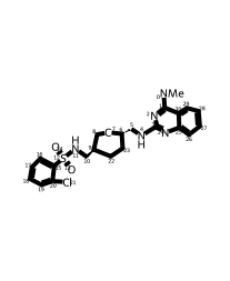 CNc1nc(NC[C@H]2CC[C@H](CNS(=O)(=O)c3ccccc3Cl)CC2)nc2ccccc12